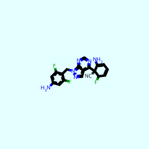 N#CC1(c2ncnc3c2cnn3Cc2c(F)cc(N)cc2F)C(N)=CC=CC1F